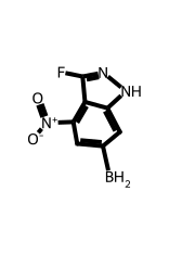 Bc1cc([N+](=O)[O-])c2c(F)n[nH]c2c1